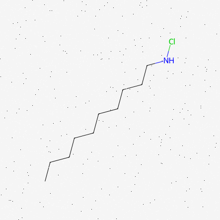 CCCCCCCCCCNCl